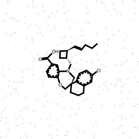 CCC/C=C/[C@@H]1CC[C@H]1CN1C[C@@]2(CCCc3cc(Cl)ccc32)COc2ccc(C(=O)O)cc21